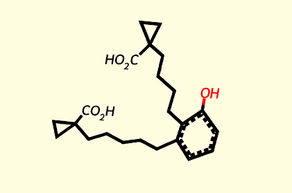 O=C(O)C1(CCCCCc2cccc(O)c2CCCCC2(C(=O)O)CC2)CC1